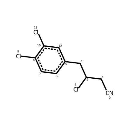 N#CCC(Cl)Cc1ccc(Cl)c(Cl)c1